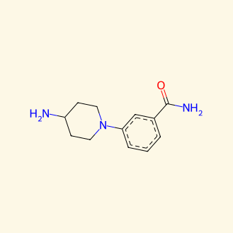 NC(=O)c1cccc(N2CCC(N)CC2)c1